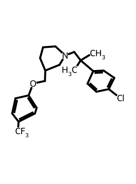 CC(C)(CN1CCCC(COc2ccc(C(F)(F)F)cc2)C1)c1ccc(Cl)cc1